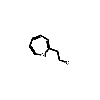 [O]CCC1=CC=CC=CN1